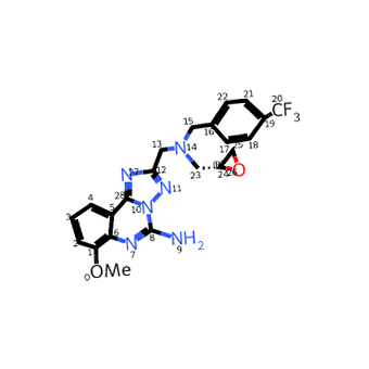 COc1cccc2c1nc(N)n1nc(CN(Cc3ccc(C(F)(F)F)cc3)C[C@@H]3CO3)nc21